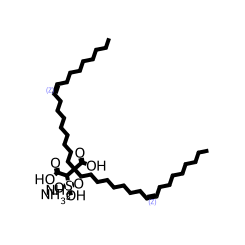 CCCCCCCC/C=C\CCCCCCCCC(CCCCCCCC/C=C\CCCCCCCC)(C(=O)O)C(C(=O)O)S(=O)(=O)O.N.N